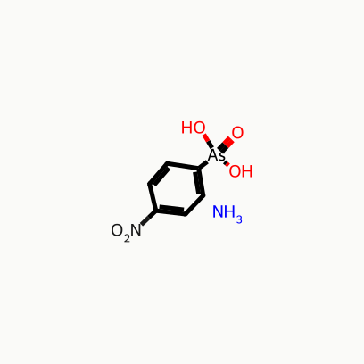 N.O=[N+]([O-])c1ccc([As](=O)(O)O)cc1